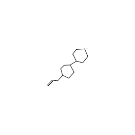 C=CCC1CCC(C2CC[CH]CC2)CC1